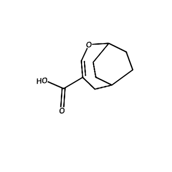 O=C(O)C1=COC2CCC(CC2)C1